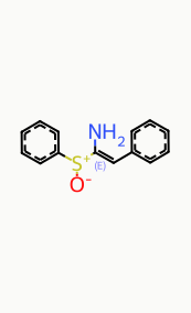 N/C(=C\c1ccccc1)[S+]([O-])c1ccccc1